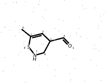 CC1=CC(C=O)CNS1